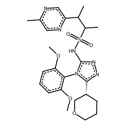 COc1cccc(OC)c1-n1c(NS(=O)(=O)C(C)C(C)c2cnc(C)cn2)nnc1[C@@H]1CCCOC1